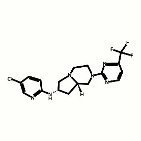 FC(F)(F)c1ccnc(N2CCN3C[C@@H](Nc4ccc(Cl)cn4)C[C@H]3C2)n1